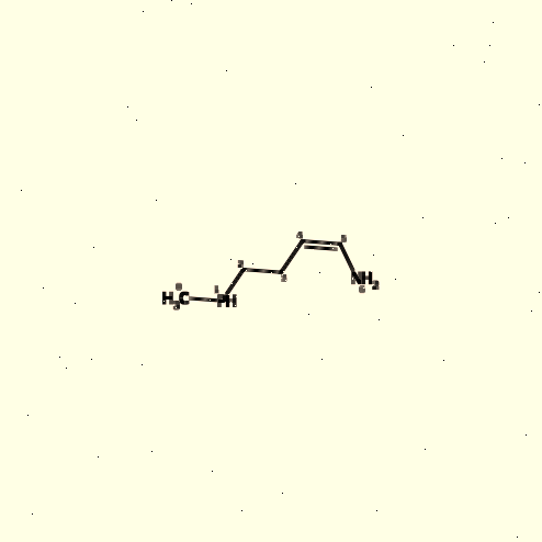 CPCC/C=C\N